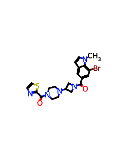 Cn1ccc2cc(C(=O)N3CC(N4CCN(C(=O)c5nccs5)CC4)C3)cc(Br)c21